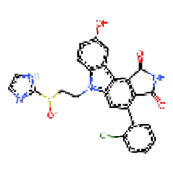 O=C1NC(=O)c2c1c(-c1ccccc1Cl)cc1c2c2cc(O)ccc2n1CC[S+]([O-])c1ncc[nH]1